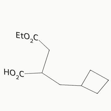 CCOC(=O)CC(CC1CCC1)C(=O)O